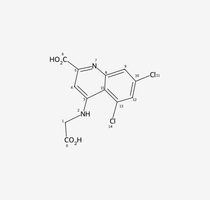 O=C(O)CNc1cc(C(=O)O)nc2cc(Cl)cc(Cl)c12